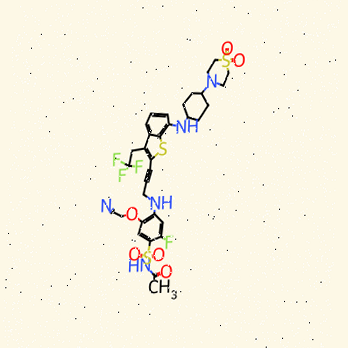 CC(=O)NS(=O)(=O)c1cc(OCC#N)c(NCC#Cc2sc3c(NC4CCC(N5CCS(=O)(=O)CC5)CC4)cccc3c2CC(F)(F)F)cc1F